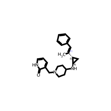 C/C(=C\c1ccccc1)[C@@H]1C[C@H]1NC1CCN(Cc2ccc[nH]c2=O)CC1